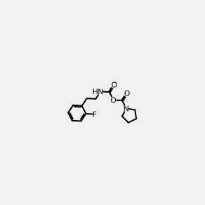 O=C(NCCc1ccccc1F)OC(=O)N1CCCC1